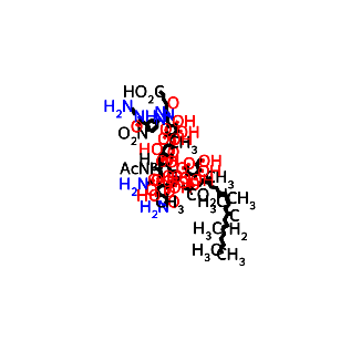 C=C(C/C=C(\C)CCC=C(C)C)CCC(C)(C)/C=C/CC/C(C)=C\CO[C@H](COP(=O)(O)OC1OC(C(N)=O)C(C)(O)C(OC(N)=O)C1OC1OC(COC2OC(CO)C(O)C(O)C2O)C(OC2OC(C)C(OC3OC(c4nc(C(=O)CCC(=O)O)nn4-c4ccc([N+](=O)[O-])c(C(=O)NCCN)c4)C(O)C(O)C3O)C(O)C2C)C(O)C1NC(C)=O)C(=O)O